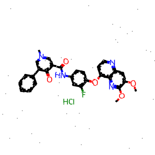 COc1cc2nccc(Oc3ccc(NC(=O)c4cn(C)cc(-c5ccccc5)c4=O)cc3F)c2nc1OC.Cl